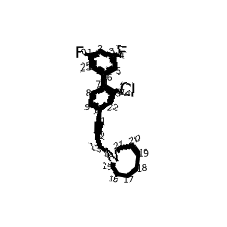 Fc1cc(F)cc(-c2ccc(C#CCN3CCCCCCC3)cc2Cl)c1